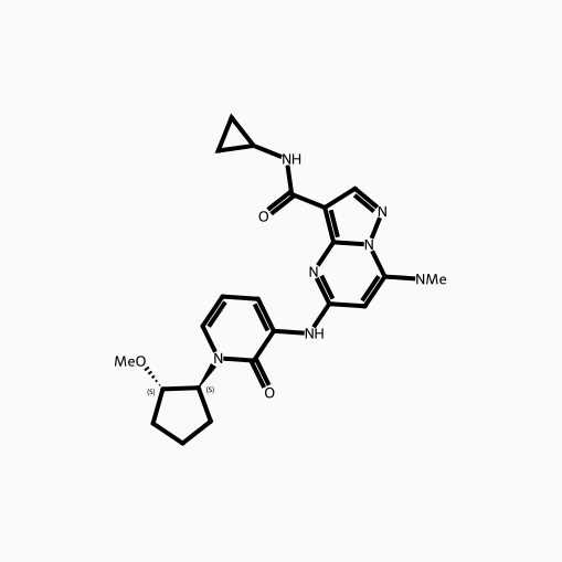 CNc1cc(Nc2cccn([C@H]3CCC[C@@H]3OC)c2=O)nc2c(C(=O)NC3CC3)cnn12